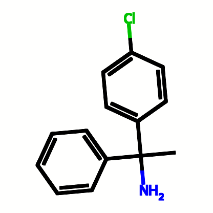 CC(N)(c1ccccc1)c1ccc(Cl)cc1